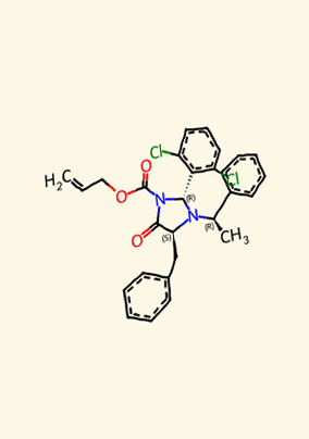 C=CCOC(=O)N1C(=O)[C@H](Cc2ccccc2)N([C@H](C)c2ccccc2)[C@H]1c1c(Cl)cccc1Cl